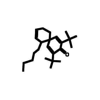 CCCCCC1C=CCCC12C=C(C(C)(C)C)C(=O)C(C(C)(C)C)=C2